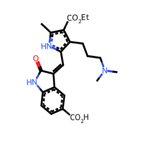 CCOC(=O)c1c(C)[nH]c(C=C2C(=O)Nc3ccc(C(=O)O)cc32)c1CCCN(C)C